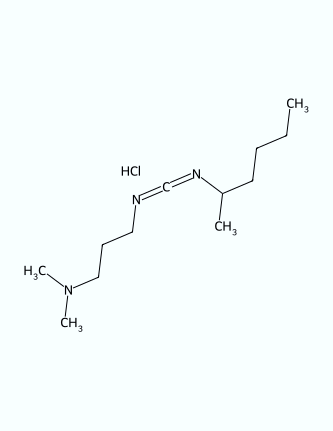 CCCCC(C)N=C=NCCCN(C)C.Cl